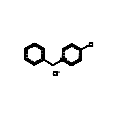 Clc1cc[n+](Cc2ccccc2)cc1.[Cl-]